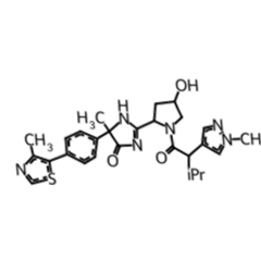 Cc1ncsc1-c1ccc(C2(C)NC(C3CC(O)CN3C(=O)C(c3cnn(C)c3)C(C)C)=NC2=O)cc1